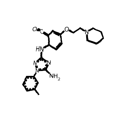 Cc1cccc(-n2nc(NC3C=CC(OCCN4CCCCC4)=CC3=C=O)nc2N)c1